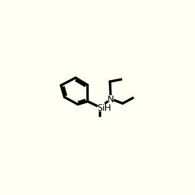 CCN(CC)[SiH](C)c1ccccc1